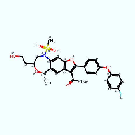 CNC(=O)c1c(-c2ccc(Oc3ccc(F)cc3)cc2)oc2cc3c(cc12)[C@H](C)OC(CCO)CN3S(C)(=O)=O